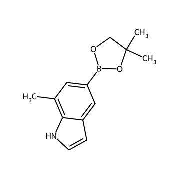 Cc1cc(B2OCC(C)(C)O2)cc2cc[nH]c12